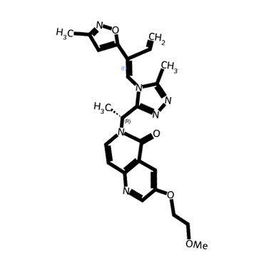 C=C/C(=C\n1c(C)nnc1[C@@H](C)n1ccc2ncc(OCCOC)cc2c1=O)c1cc(C)no1